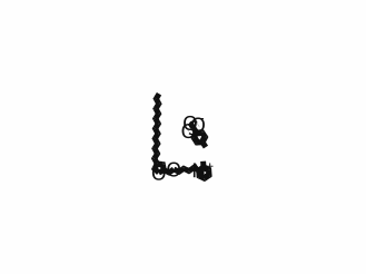 CCCCCCCCCCCCCCC1COC(COCCCC[n+]2ccccc2C)C1.Cc1ccc(S(=O)(=O)[O-])cc1